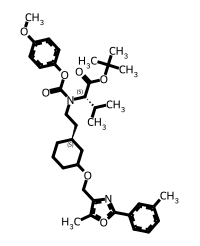 COc1ccc(OC(=O)N(CC[C@@H]2CCCC(OCc3nc(-c4cccc(C)c4)oc3C)C2)[C@H](C(=O)OC(C)(C)C)C(C)C)cc1